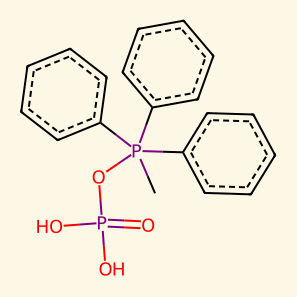 CP(OP(=O)(O)O)(c1ccccc1)(c1ccccc1)c1ccccc1